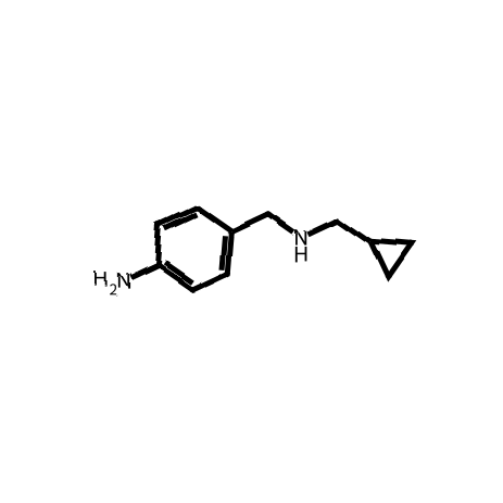 Nc1ccc(CNCC2CC2)cc1